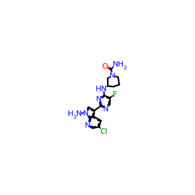 NC(=O)N1CCC[C@H](Nc2nc(-c3cn(N)c4ncc(Cl)cc34)ncc2F)C1